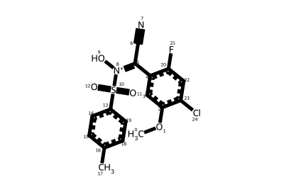 COc1cc(C(C#N)=[N+](O)S(=O)(=O)c2ccc(C)cc2)c(F)cc1Cl